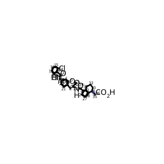 COC(=O)[C@H](Cc1ccc(NC(=O)c2c(Cl)cccc2Cl)cc1)NC(=O)c1cccc2c1CCC/C2=C\C(=O)O